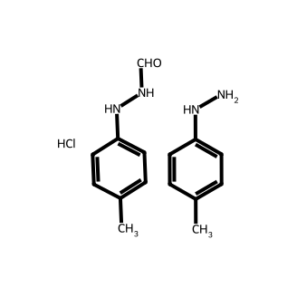 Cc1ccc(NN)cc1.Cc1ccc(NNC=O)cc1.Cl